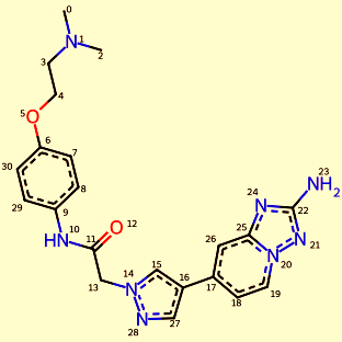 CN(C)CCOc1ccc(NC(=O)Cn2cc(-c3ccn4nc(N)nc4c3)cn2)cc1